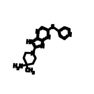 CC1(N)CCN(c2nc3nc(Sc4ccncc4)cnc3[nH]2)CC1